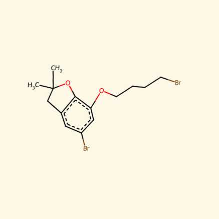 CC1(C)Cc2cc(Br)cc(OCCCCBr)c2O1